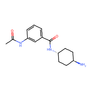 CC(=O)Nc1cccc(C(=O)N[C@H]2CC[C@H](N)CC2)c1